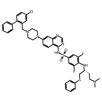 CN(C)CC[C@H](CSc1ccccc1)Nc1c(F)cc(S(=O)(=O)Nc2ncnc3cc(N4CCN(Cc5cc(Cl)ccc5-c5ccccc5)CC4)ccc23)cc1F